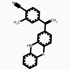 C=C(c1ccc(C#N)c(C)c1)c1ccc2c(c1)Nc1ccccc1S2